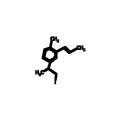 CC=Cc1cc(C(C)CI)ccc1C